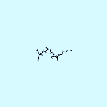 CCCCCCCCCCCCCCC(=O)C(=O)OCCC(C)CCC=C(C)C